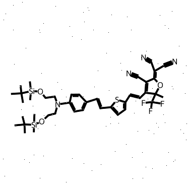 CC1(C(F)(F)F)OC(=C(C#N)C#N)C(C#N)=C1C=Cc1ccc(C=Cc2ccc(N(CCO[Si](C)(C)C(C)(C)C)CCO[Si](C)(C)C(C)(C)C)cc2)s1